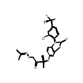 CC(C)=NOCC(=O)C(C)(C)Oc1ccc2c(c1)sc(=O)n2-c1ccc(C(F)(F)F)cc1Cl